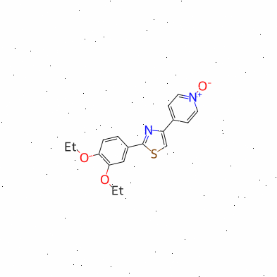 CCOc1ccc(-c2nc(-c3cc[n+]([O-])cc3)cs2)cc1OCC